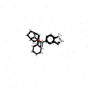 c1cc2[nH]ncc2cc1NC1CC2CCC(C1)N2CC1CCCCC1